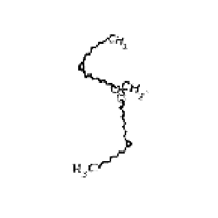 [CH2]C(COCCCCCCCCC1CC1CCCCCCCC)OCCCCCCCCC1CC1CCCCCCCC